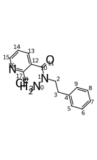 NN(CCc1ccccc1)C(=O)c1cccnc1C(F)(F)F